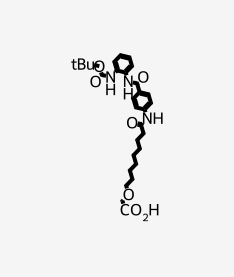 CC(C)(C)OC(=O)Nc1ccccc1NC(=O)c1ccc(NC(=O)CCCCCCCCOCC(=O)O)cc1